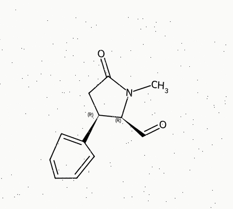 CN1C(=O)C[C@H](c2ccccc2)[C@@H]1C=O